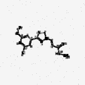 CC(C)Oc1cc(-c2ncn(C=CC(=O)NN)n2)cc(Cl)n1